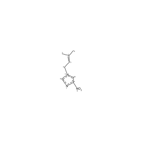 CC(C)=CCn1cnc([N+](=O)[O-])c1